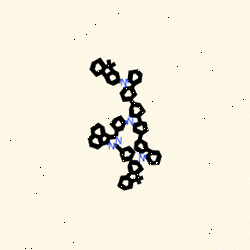 CC1(C)c2ccccc2-c2ccc(-n3c4ccccc4c4cc(-c5ccc6c7ccc(-c8ccc9c(c8)c8ccccc8n9-c8ccc9c(c8)C(C)(C)c8ccccc8-9)cc7n(-c7cccc(-c8nc(-c9ccccc9)nc9c8-c8cccc%10cccc-9c8%10)c7)c6c5)ccc43)cc21